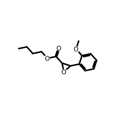 CCCCOC(=O)C1OC1c1ccccc1OC